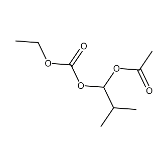 CCOC(=O)OC(OC(C)=O)C(C)C